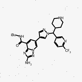 CCC(C)NC(=O)c1cc(-c2cnn(C(c3ccc(C(F)(F)F)nc3)C3CCNCC3)c2)cn2nc(N)nc12